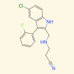 N#CCCNCc1[nH]c2ccc(Cl)cc2c1-c1ccccc1F